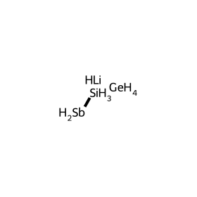 [GeH4].[LiH].[SiH3][SbH2]